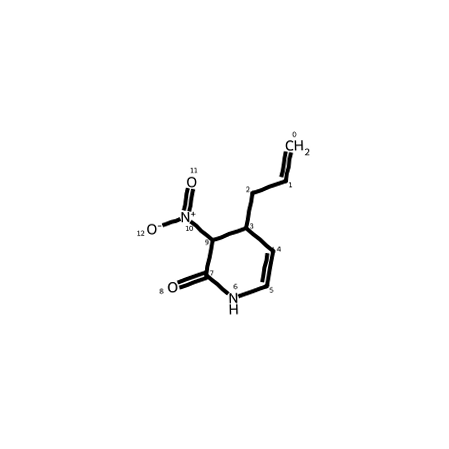 C=CCC1[C]=CNC(=O)C1[N+](=O)[O-]